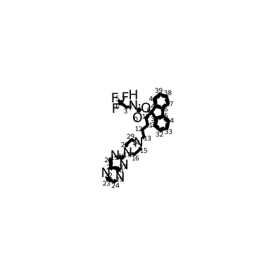 O=C(NCC(F)(F)F)OC1(CCCCN2CCN(c3ncc4nccnc4n3)CC2)c2ccccc2-c2ccccc21